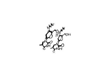 Cc1cn([C@H]2C[C@H](N=[N+]=[N-])[C@@H](CO)O2)c(=O)[nH]c1=O.Cc1cn([C@H]2C[C@H](N=[N+]=[N-])[C@@H](CO)O2)c(=O)[nH]c1=O